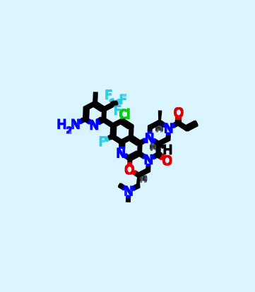 C=CC(=O)N1C[C@@H]2C(=O)N3C[C@@H](CN(C)C)Oc4nc5c(F)c(-c6nc(N)cc(C)c6C(F)(F)F)c(Cl)cc5c(c43)N2C[C@H]1C